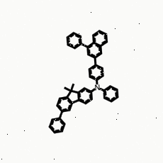 CC1(C)c2ccc(-c3ccccc3)cc2-c2ccc(N(c3ccccc3)c3ccc(-c4cc(-c5ccccc5)c5ccccc5c4)cc3)cc21